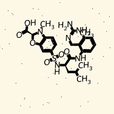 Cc1cccc(NC(=O)[C@@H](CC(C)C)NS(=O)(=O)c2ccc3c(c2)O[C@@H](C(=O)O)N3C)c1CN=C(N)N